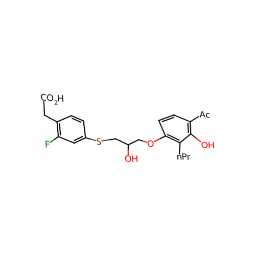 CCCc1c(OCC(O)CSc2ccc(CC(=O)O)c(F)c2)ccc(C(C)=O)c1O